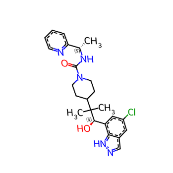 C[C@H](NC(=O)N1CCC(C(C)(C)[C@H](O)c2cc(Cl)cc3cn[nH]c23)CC1)c1ccccn1